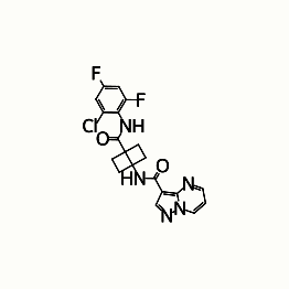 O=C(NC12CCC1(C(=O)Nc1c(F)cc(F)cc1Cl)CC2)c1cnn2cccnc12